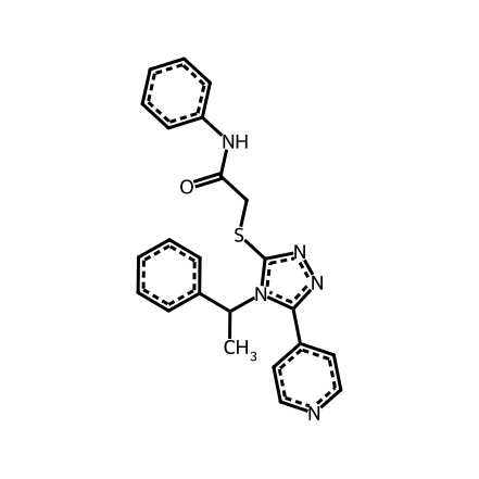 CC(c1ccccc1)n1c(SCC(=O)Nc2ccccc2)nnc1-c1ccncc1